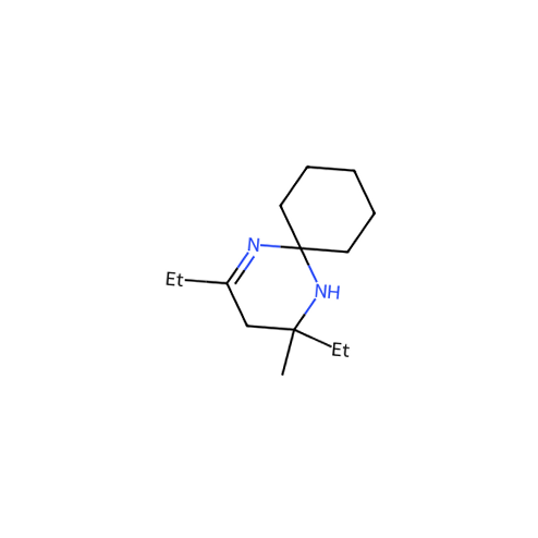 CCC1=NC2(CCCCC2)NC(C)(CC)C1